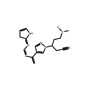 C=C(/N=C\N=C1/CC=CN1)c1cnn(C(CC#N)CC[S+](C)[O-])c1